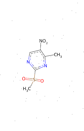 Cc1nc(S(C)(=O)=O)ncc1[N+](=O)[O-]